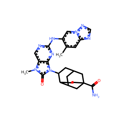 Cc1cc2ncnn2cc1Nc1ncc2c(n1)n(C1CC3CC4CC(C(N)=O)(CCC41)C3)c(=O)n2C